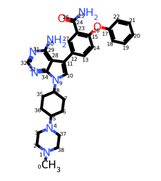 CN1CCN(C2CCC(n3cc(-c4ccc(Oc5ccccc5)c(C(N)=O)c4)c4c(N)ncnc43)CC2)CC1